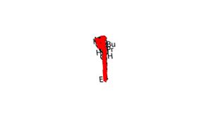 CCC=CCC=CCC=CCC=CCC=CCC=CCCC(=O)NCCNC(=O)C(=O)C(NC(=O)[C@H]1[C@H]2CCC[C@H]2CN1C(=O)C(NC(=O)C(NC(=O)c1cnccn1)C1CCCCC1)C(C)(C)C)C(C)C